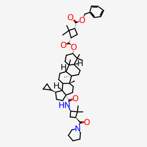 CC1(C)[C@@H](C(=O)N2CCCCC2)C[C@H]1NC(=O)[C@]12CC[C@@H](C3CC3)[C@@H]1C1CC[C@@H]3C4(C)CC[C@H](OC(=O)[C@H]5C[C@@H](C(=O)OCc6ccccc6)C5(C)C)C(C)(C)[C@@H]4CC[C@@]3(C)[C@]1(C)CC2